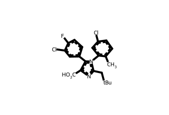 Cc1ccc(Cl)cc1-n1c(CC(C)(C)C)nc(C(=O)O)c1-c1ccc(F)c(Cl)c1